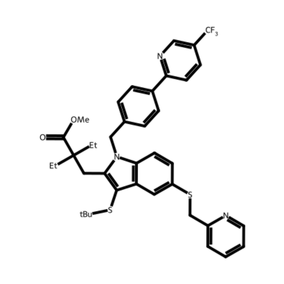 CCC(CC)(Cc1c(SC(C)(C)C)c2cc(SCc3ccccn3)ccc2n1Cc1ccc(-c2ccc(C(F)(F)F)cn2)cc1)C(=O)OC